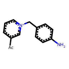 CC(=O)c1ccc[n+](Cc2ccc(N)cc2)c1